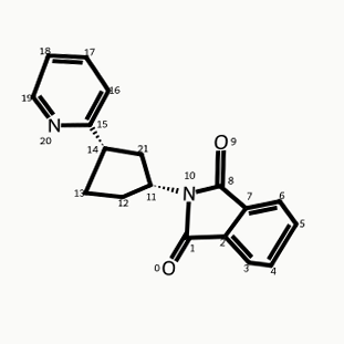 O=C1c2ccccc2C(=O)N1[C@@H]1CC[C@H](c2ccccn2)C1